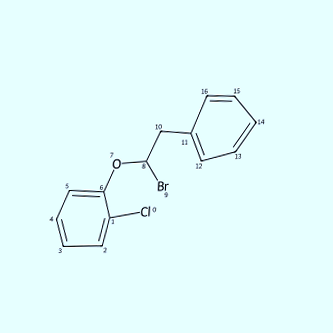 Clc1ccccc1OC(Br)Cc1ccccc1